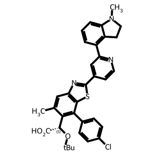 Cc1cc2nc(-c3ccnc(-c4cccc5c4CCN5C)c3)sc2c(-c2ccc(Cl)cc2)c1[C@H](OC(C)(C)C)C(=O)O